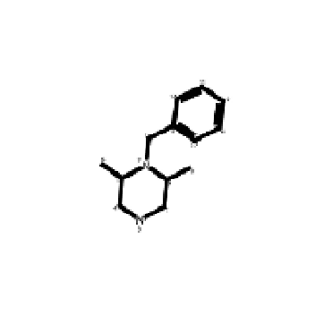 CC1C[N]CC(C)N1Cc1ccccc1